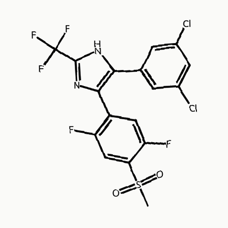 CS(=O)(=O)c1cc(F)c(-c2nc(C(F)(F)F)[nH]c2-c2cc(Cl)cc(Cl)c2)cc1F